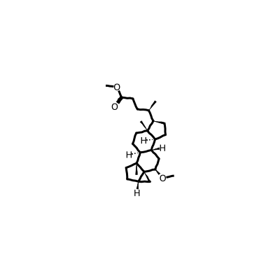 COC(=O)CC[C@@H](C)[C@H]1CC[C@H]2[C@@H]3C[C@@H](OC)[C@]45C[C@@H]4CC[C@]5(C)[C@H]3CC[C@]12C